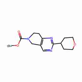 CC(C)(C)OC(=O)N1CCc2nc(C3CCOCC3)ncc2C1